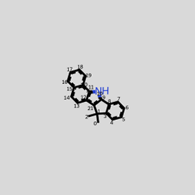 CC1(C)c2ccccc2-c2[nH]c3c(ccc4ccccc43)c21